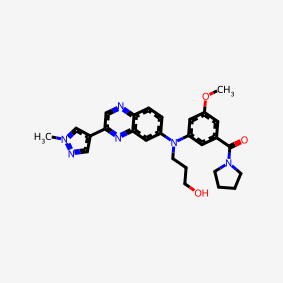 COc1cc(C(=O)N2CCCC2)cc(N(CCCO)c2ccc3ncc(-c4cnn(C)c4)nc3c2)c1